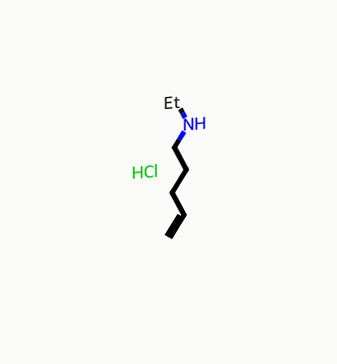 C=CCCCNCC.Cl